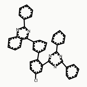 Clc1ccc(-c2cccc(-c3nc(-c4ccccc4)nc4ccccc34)c2)c(-c2nc(-c3ccccc3)nc(-c3ccccc3)n2)c1